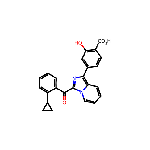 O=C(O)c1ccc(-c2nc(C(=O)c3ccccc3C3CC3)n3ccccc23)cc1O